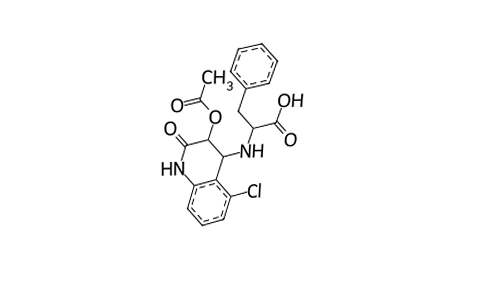 CC(=O)OC1C(=O)Nc2cccc(Cl)c2C1NC(Cc1ccccc1)C(=O)O